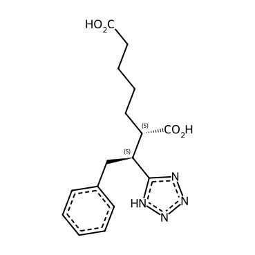 O=C(O)CCCC[C@H](C(=O)O)[C@H](Cc1ccccc1)c1nnn[nH]1